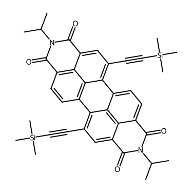 CC(C)N1C(=O)c2ccc3c4c(C#C[Si](C)(C)C)cc5c6c(ccc(c7c(C#C[Si](C)(C)C)cc(c2c37)C1=O)c64)C(=O)N(C(C)C)C5=O